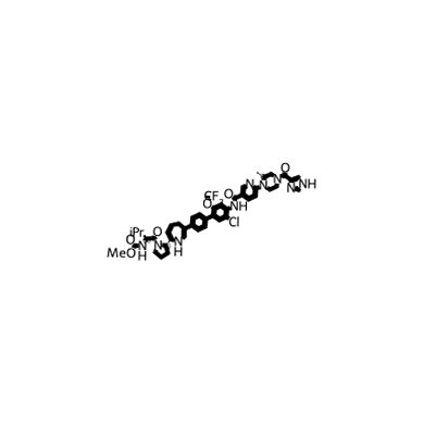 COC(=O)N[C@H](C(=O)N1CCC[C@H]1C1=C=CCC(c2ccc(-c3cc(Cl)c(NC(=O)c4ccc(N5CCN(C(=O)c6c[nH]cn6)C[C@H]5C)nc4)cc3OC(F)(F)F)cc2)=CN1)C(C)C